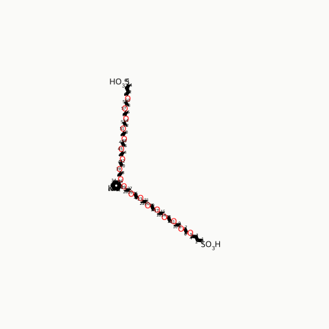 O=S(=O)(O)CCCCOCCOCCOCCOCCOCCOCCOCCOCCOc1ccccc1OCCOCCOCCOCCOCCOCCOCCOCCOCCCCS(=O)(=O)O.[KH]